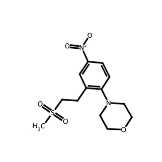 CS(=O)(=O)CCc1cc([N+](=O)[O-])ccc1N1CCOCC1